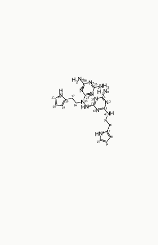 Nc1nc(NCCc2ccc[nH]2)nc(NN(CCc2ccc[nH]2)c2nc(N)nc(N)n2)n1